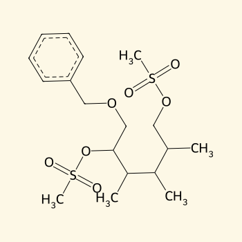 CC(COS(C)(=O)=O)C(C)C(C)C(COCc1ccccc1)OS(C)(=O)=O